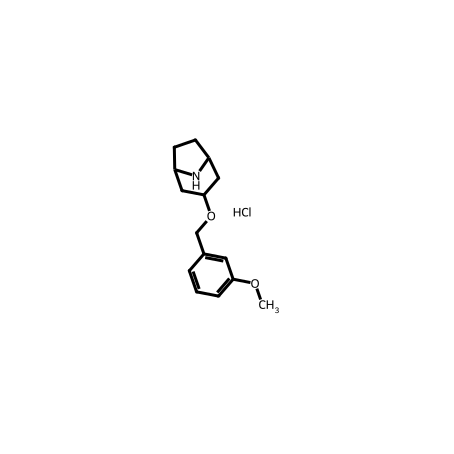 COc1cccc(COC2CC3CCC(C2)N3)c1.Cl